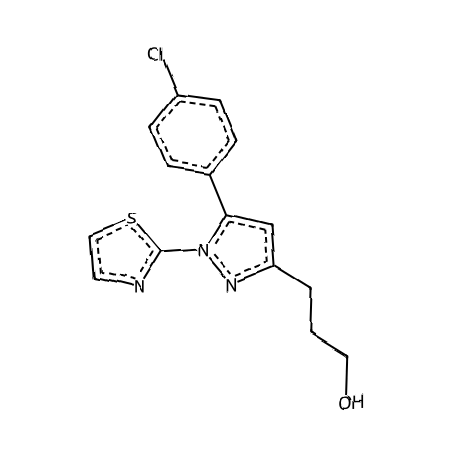 OCCCc1cc(-c2ccc(Cl)cc2)n(-c2nccs2)n1